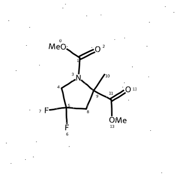 COC(=O)N1CC(F)(F)CC1(C)C(=O)OC